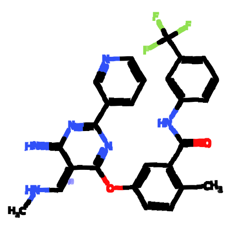 CN/C=C1\C(=N)N=C(c2cccnc2)N=C1Oc1ccc(C)c(C(=O)Nc2cccc(C(F)(F)F)c2)c1